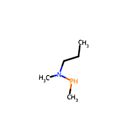 CCCN(C)PC